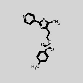 Cc1ccc(S(=O)(=O)OCCc2nc(-c3ccncc3)sc2C)cc1